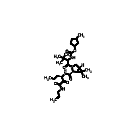 C=CCNC(=O)C(=O)[C@@H](CCC)NC(=O)[C@@H]1C2[C@H](CN1C(=O)C(NC(=O)OC1CCC(C)C1)C(C)(C)C)C2(C)C